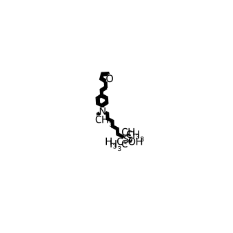 CCN(CCCCCCC(C)(C)[Si](C)(C)O)c1ccc(/C=C/c2ccco2)cc1